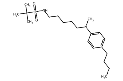 CCCCc1ccc(N(C)CCCCCNS(=O)(=O)C(C)(C)C)cc1